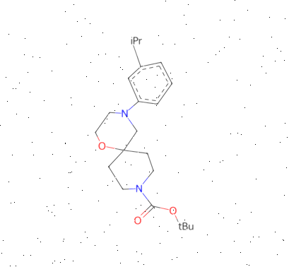 CC(C)c1cccc(N2CCOC3(CCN(C(=O)OC(C)(C)C)CC3)C2)c1